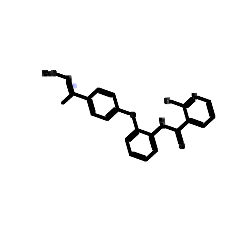 CO/N=C(\C)c1ccc(Oc2ccccc2NC(=O)c2cccnc2Cl)cc1